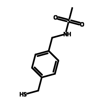 CS(=O)(=O)NCc1ccc(CS)cc1